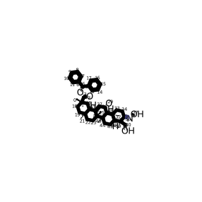 C[C@]1(C(=O)OC(c2ccccc2)c2ccccc2)CC[C@]2(C)CC[C@]3(C)C(=CC(=O)[C@@H]4[C@@]5(C)CC/C(=N\O)[C@@](C)(CO)[C@@H]5CC[C@]43C)[C@@H]2C1